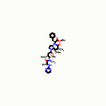 CC[C@H](C)[C@@H]([C@@H](CC(=O)N1CCC[C@H]1[C@H](OC)[C@@H](C)C(=O)N[C@@H](Cc1ccccc1)C(=O)OC(C)(C)C)OC)N(C)C(=O)[C@@H](Nc1ncccn1)C(C)C